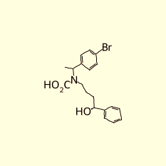 CC(c1ccc(Br)cc1)N(CCC[C@H](O)c1ccccc1)C(=O)O